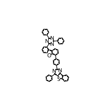 c1ccc(-c2nc(-c3ccccc3)nc(-c3cccc4oc5c(-c6ccc(-c7nc(-c8ccccc8)c8sc9ccccc9c8n7)cc6)cccc5c34)n2)cc1